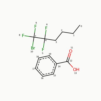 CCCCC(F)(F)C(F)(F)Br.O=C(O)c1ccccc1